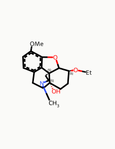 CCO[C@H]1CC[C@@]2(O)C3Cc4ccc(OC)c5c4[C@@]2(CCN3C)C1O5